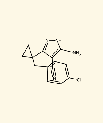 N#Cc1c(C2(Cc3ccc(Cl)cc3)CC2)n[nH]c1N